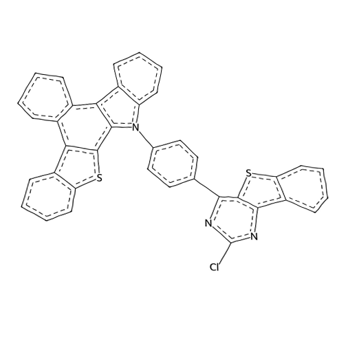 Clc1nc(-c2ccc(-n3c4ccccc4c4c5ccccc5c5c6ccccc6sc5c43)cc2)c2sc3ccccc3c2n1